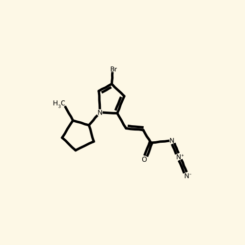 CC1CCCC1n1cc(Br)cc1C=CC(=O)N=[N+]=[N-]